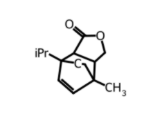 CC(C)C12C=CC(C)(CC1)C1COC(=O)C12